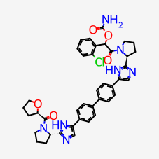 NC(=O)O[C@@H](C(=O)N1CCC[C@H]1c1ncc(-c2ccc(-c3ccc(-c4cnc([C@@H]5CCCN5C(=O)[C@H]5CCCO5)[nH]4)cc3)cc2)[nH]1)c1ccccc1Cl